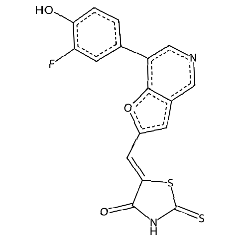 O=C1NC(=S)S/C1=C\c1cc2cncc(-c3ccc(O)c(F)c3)c2o1